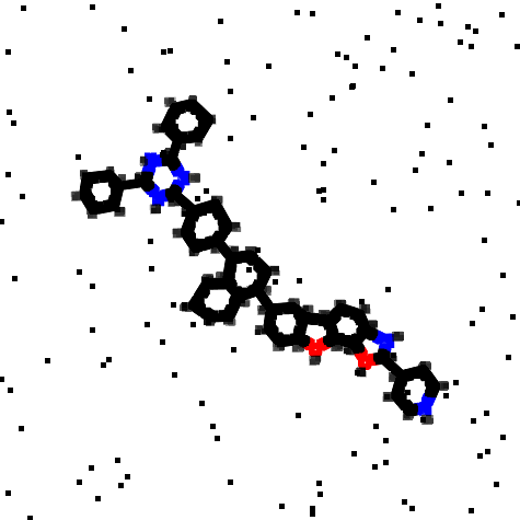 c1ccc(-c2nc(-c3ccccc3)nc(-c3ccc(-c4ccc(-c5ccc6oc7c(ccc8nc(-c9ccncc9)oc87)c6c5)c5ccccc45)cc3)n2)cc1